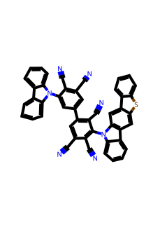 N#Cc1cc(-c2cc(C#N)c(C#N)c(-n3c4ccccc4c4cc5sc6ccccc6c5cc43)c2C#N)cc(-n2c3ccccc3c3ccccc32)c1C#N